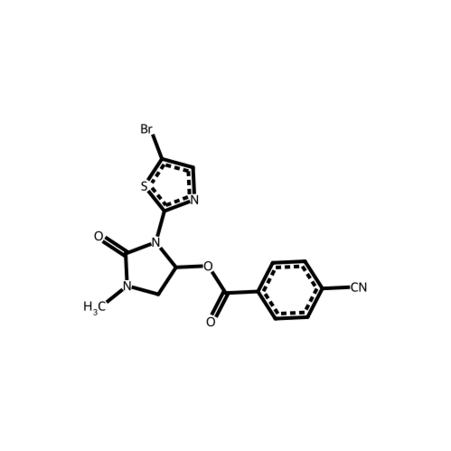 CN1CC(OC(=O)c2ccc(C#N)cc2)N(c2ncc(Br)s2)C1=O